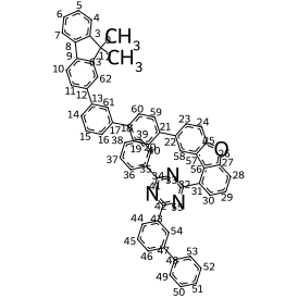 CC1(C)c2ccccc2-c2ccc(-c3cccc(-c4ccc(-c5ccc6oc7cccc(-c8nc(-c9ccccc9)nc(-c9cccc(-c%10ccccc%10)c9)n8)c7c6c5)cc4)c3)cc21